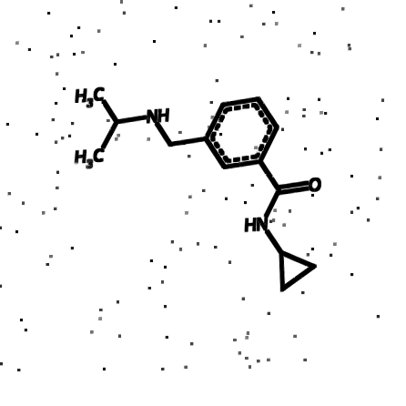 CC(C)NCc1cccc(C(=O)NC2CC2)c1